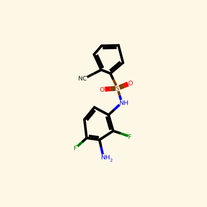 N#Cc1ccccc1S(=O)(=O)Nc1ccc(F)c(N)c1F